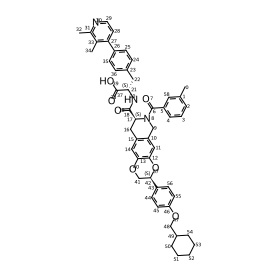 Cc1cccc(C(=O)N2Cc3cc4c(cc3C[C@H]2C(=O)N[C@@H](Cc2ccc(-c3ccnc(C)c3C)cc2)C(=O)O)OC[C@H](c2ccc(OCC3CCCCC3)cc2)O4)c1